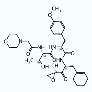 COc1ccc(C[C@H](NC(=O)[C@@H](NC(=O)CN2CCOCC2)[C@@H](C)O)C(=O)N[C@@H](CC2=CCCCC2)C(=O)[C@]2(C)CO2)cc1